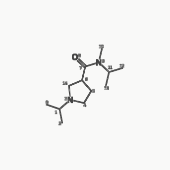 CC(C)N1CCC(C(=O)N(C)C(C)C)C1